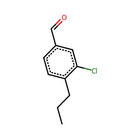 CCCc1ccc(C=O)cc1Cl